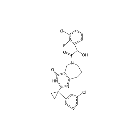 O=C(C(O)c1cccc(Cl)c1F)N1CCCc2nc(C3(c4cccc(Cl)c4)CC3)[nH]c(=O)c2C1